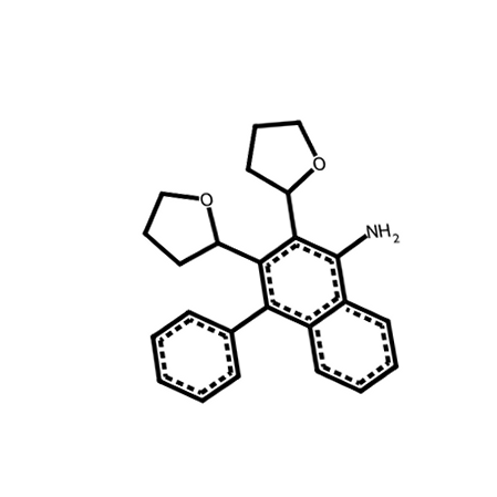 Nc1c(C2CCCO2)c(C2CCCO2)c(-c2ccccc2)c2ccccc12